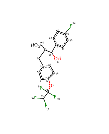 O=C(O)C(Cc1ccc(OC(F)(F)C(F)F)cc1)C(O)c1ccc(F)cc1